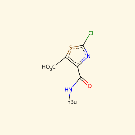 CCCCNC(=O)c1nc(Cl)sc1C(=O)O